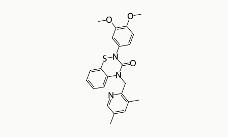 COc1ccc(N2Sc3ccccc3N(Cc3ncc(C)cc3C)C2=O)cc1OC